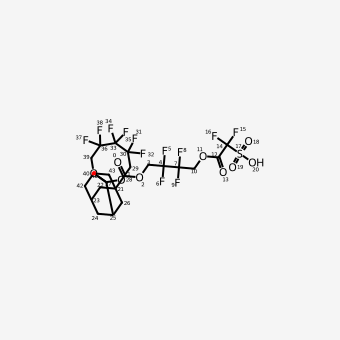 O=C(OCC(F)(F)C(F)(F)COC(=O)C(F)(F)S(=O)(=O)O)C12CC3CC(C1)C1(OCC(F)(F)C(F)(F)C(F)(F)CO1)C(C3)C2